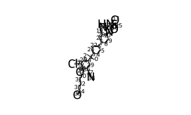 CC(C)(c1ccc(-c2ccc3nc(NS(C)(=O)=O)ncc3c2)cc1)c1cc(Cl)c(OCCCCC=O)c(C#N)c1